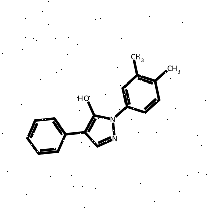 Cc1ccc(-n2ncc(-c3ccccc3)c2O)cc1C